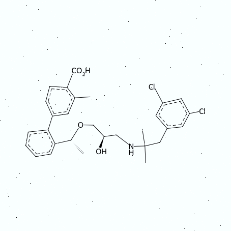 Cc1cc(-c2ccccc2[C@@H](C)OC[C@H](O)CNC(C)(C)Cc2cc(Cl)cc(Cl)c2)ccc1C(=O)O